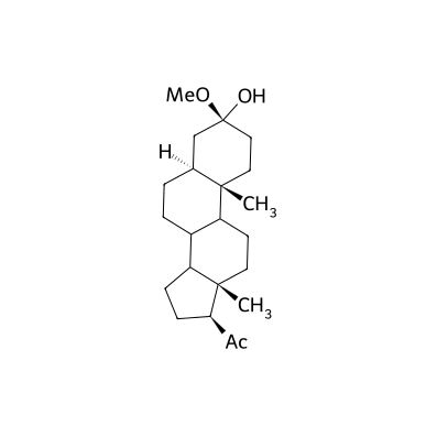 CO[C@@]1(O)CC[C@]2(C)C3CC[C@@]4(C)C(CC[C@@H]4C(C)=O)C3CC[C@H]2C1